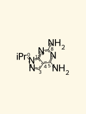 CC(C)n1ncc2c(N)nc(N)nc21